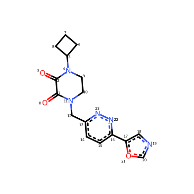 O=C1C(=O)N(C2CCC2)CCN1Cc1ccc(-c2cnco2)nn1